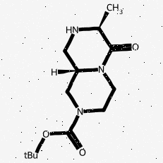 C[C@@H]1NC[C@H]2CN(C(=O)OC(C)(C)C)CCN2C1=O